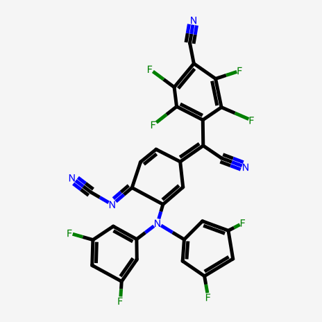 N#C/N=C1C=C/C(=C(/C#N)c2c(F)c(F)c(C#N)c(F)c2F)C=C\1N(c1cc(F)cc(F)c1)c1cc(F)cc(F)c1